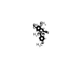 COc1ccc(CS(=O)(=O)/C(C#N)=C\c2c(OC)cc(OC)cc2OC)cc1